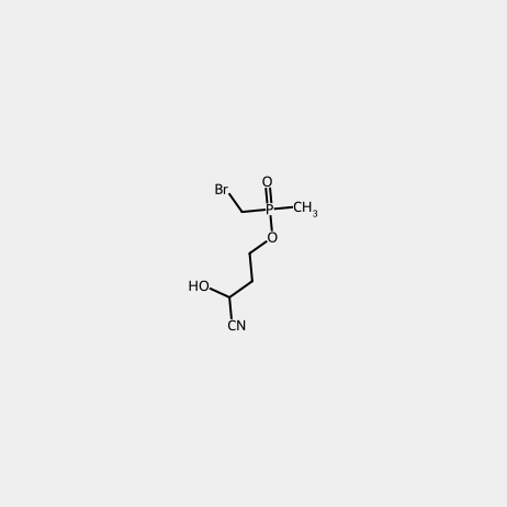 CP(=O)(CBr)OCCC(O)C#N